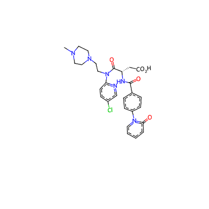 CN1CCN(CCN(C(=O)[C@H](CC(=O)O)NC(=O)c2ccc(-n3ccccc3=O)cc2)c2ccc(Cl)cn2)CC1